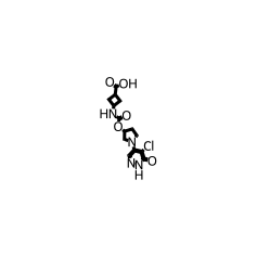 O=C(NC1CC(C(=O)O)C1)OC1CCN(c2cn[nH]c(=O)c2Cl)C1